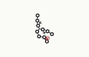 CC1(C)c2cc(-c3ccccc3)ccc2-c2ccc(C(c3cccc(-c4cccc(-c5ccc6oc7ccccc7c6c5)c4)c3)c3ccc4c(c3)C(C)(C)c3cc(-c5ccccc5)ccc3-4)cc21